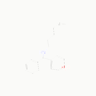 CCCCCCCCCCCCCCNC(c1ccccc1)c1ccccc1.O